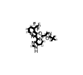 CC(C)(C)c1ncc(C(=O)N2CCc3[nH]cnc3C2c2cc3c(C(F)(F)F)cccn3n2)o1